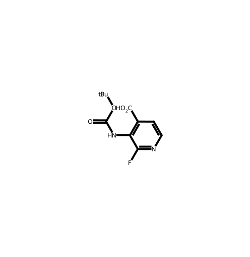 CC(C)(C)OC(=O)Nc1c(C(=O)O)ccnc1F